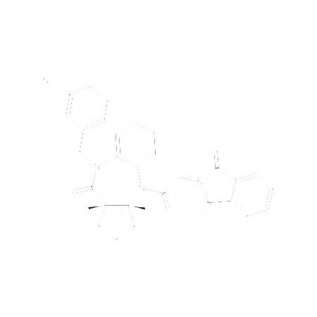 N#Cc1cccc(CN2C(=O)[C@H]3CCC[C@H]3N(C(=O)CN3C(=O)c4ccccc4C3=O)c3ccccc32)c1